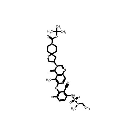 CCN(C)S(=O)(=O)Nc1ccc(F)c(Oc2ccc3ncn(C4COC5(CCN(C(=O)OC(C)(C)C)CC5)C4)c(=O)c3c2C)c1C#N